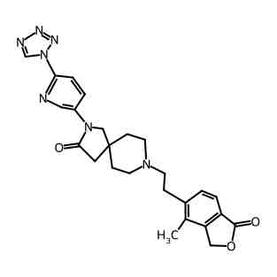 Cc1c(CCN2CCC3(CC2)CC(=O)N(c2ccc(-n4cnnn4)nc2)C3)ccc2c1COC2=O